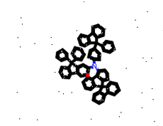 c1ccc(C2(c3ccc(N(c4ccc5c(c4)C(c4ccccc4)(c4ccccc4)c4ccccc4-5)c4cccc5c4-c4ccccc4C54c5ccccc5-c5ccccc54)cc3)c3ccccc3-c3ccccc32)cc1